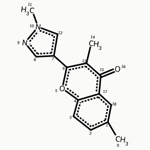 Cc1ccc2oc(-c3cnn(C)c3)c(C)c(=O)c2c1